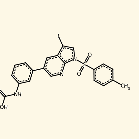 Cc1ccc(S(=O)(=O)n2cc(I)c3cc(-c4cccc(NC(=O)O)c4)cnc32)cc1